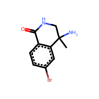 CC1(N)CNC(=O)c2ccc(Br)cc21